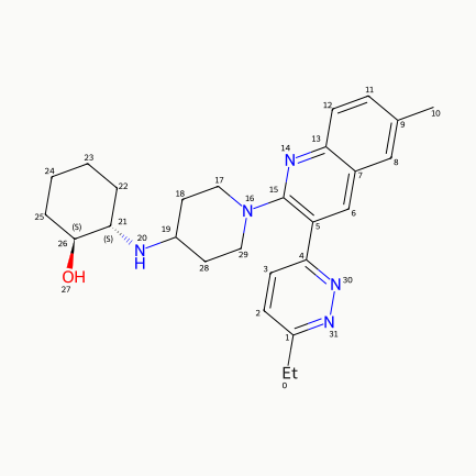 CCc1ccc(-c2cc3cc(C)ccc3nc2N2CCC(N[C@H]3CCCC[C@@H]3O)CC2)nn1